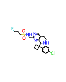 O=S(=O)(CCCF)NCc1ncc2c(n1)C(C1(c3ccc(Cl)cc3)CCC1)NCC2